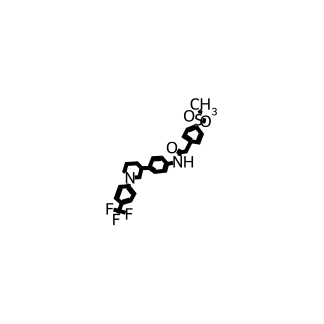 CCS(=O)(=O)c1ccc(CC(=O)Nc2ccc(C3CCCN(c4ccc(C(F)(F)F)cc4)C3)cc2)cc1